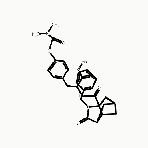 CN(C)C(=O)Oc1ccc(C[C@H](NC(=O)C23CC4CC(C(=O)N2Cc2ccccc2)C3C4)C(=O)OC(C)(C)C)cc1